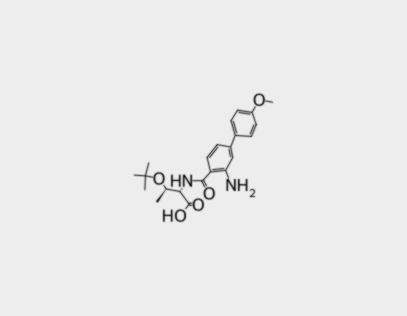 COc1ccc(-c2ccc(C(=O)N[C@H](C(=O)O)[C@@H](C)OC(C)(C)C)c(N)c2)cc1